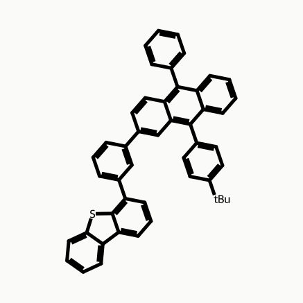 CC(C)(C)c1ccc(-c2c3ccccc3c(-c3ccccc3)c3ccc(-c4cccc(-c5cccc6c5sc5ccccc56)c4)cc23)cc1